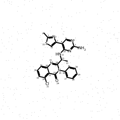 Cc1nc(-c2cnc(N)nc2N[C@@H](C)c2nc3cccc(Cl)c3c(=O)n2-c2ccccc2)cs1